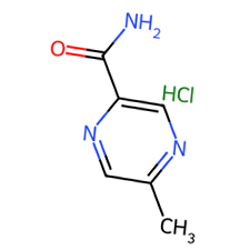 Cc1cnc(C(N)=O)cn1.Cl